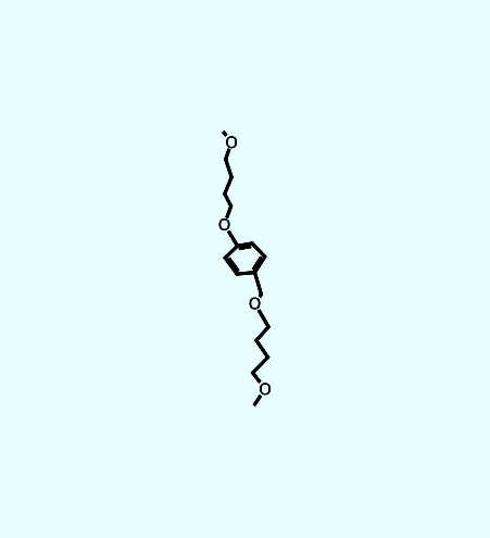 COCCCCOCc1ccc(OCCCCOC)cc1